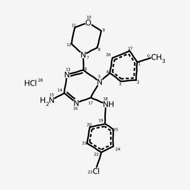 Cc1ccc(N2C(N3CCOCC3)=NC(N)=NC2Nc2ccc(Cl)cc2)cc1.Cl